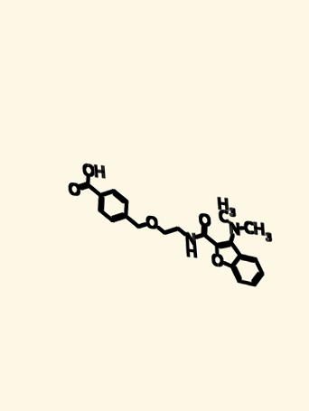 CN(C)c1c(C(=O)NCCOCc2ccc(C(=O)O)cc2)oc2ccccc12